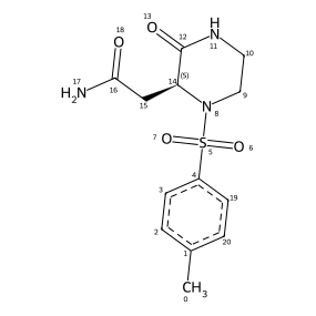 Cc1ccc(S(=O)(=O)N2CCNC(=O)[C@@H]2CC(N)=O)cc1